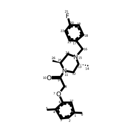 Cc1ccc(C)c(OCC(=O)N2C[C@@H](C)N(Cc3ccc(F)cc3)C[C@@H]2C)c1